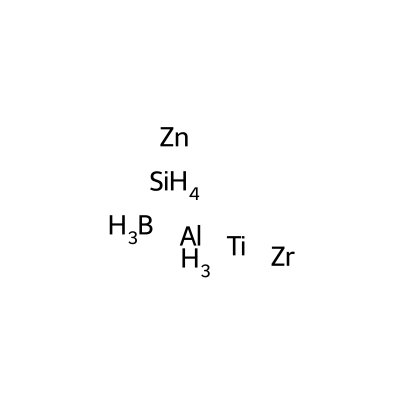 B.[AlH3].[SiH4].[Ti].[Zn].[Zr]